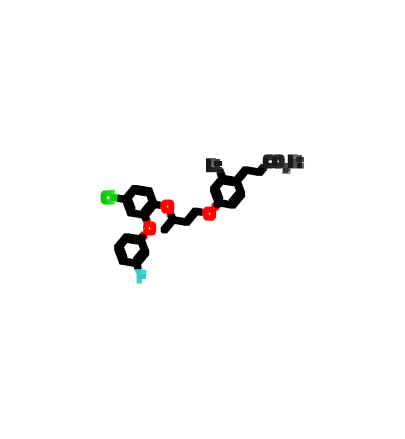 CCOC(=O)CCc1ccc(OCCC(C)Oc2ccc(Cl)cc2Oc2cccc(F)c2)cc1CC